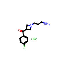 Br.NCCCN1CC(C(=O)c2ccc(F)cc2)C1